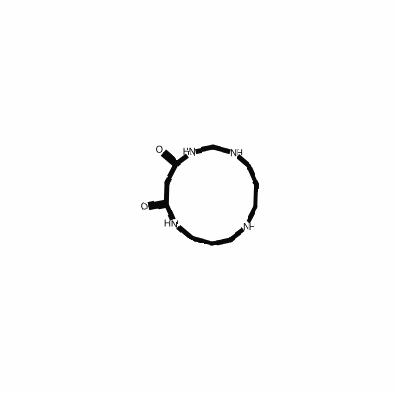 O=C1CC(=O)NCNCCCNCCCN1